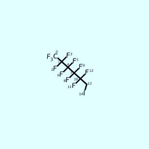 FC(F)(F)C(F)(F)C(F)(F)C(F)(F)C(F)(F)CI